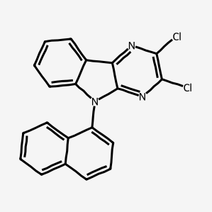 Clc1nc2c3ccccc3n(-c3cccc4ccccc34)c2nc1Cl